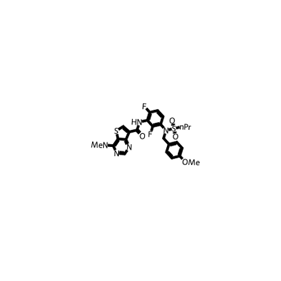 CCCS(=O)(=O)N(Cc1ccc(OC)cc1)c1ccc(F)c(NC(=O)c2csc3c(NC)ncnc23)c1F